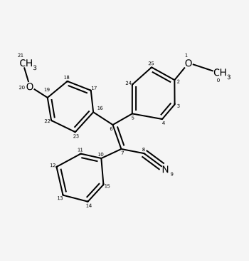 COc1ccc(C(=C(C#N)c2ccccc2)c2ccc(OC)cc2)cc1